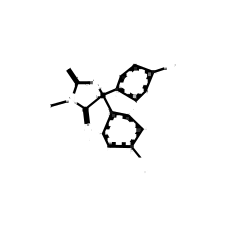 CN1C(=O)C(c2ccc(F)cc2)(c2ccc(F)cc2)NC1=S